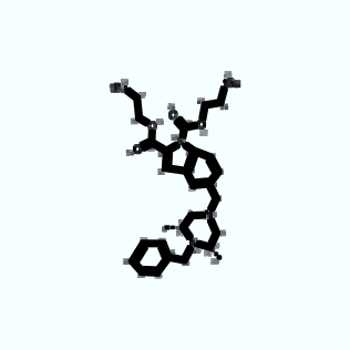 C[C@@H]1CN(Cc2ccc3c(c2)cc(C(=O)OCCC(C)(C)C)n3C(=O)OCCC(C)(C)C)C[C@H](C)N1Cc1ccccc1